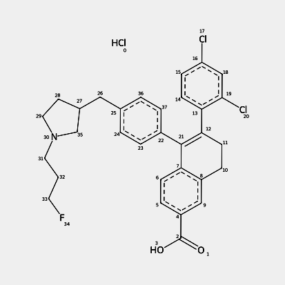 Cl.O=C(O)c1ccc2c(c1)CCC(c1ccc(Cl)cc1Cl)=C2c1ccc(CC2CCN(CCCF)C2)cc1